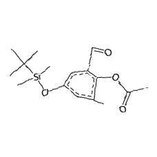 CC(=O)Oc1c(C)cc(O[Si](C)(C)C(C)(C)C)cc1C=O